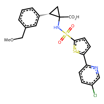 COCc1cccc([C@@H]2CC2(NS(=O)(=O)c2ccc(-c3ccc(Cl)cn3)s2)C(=O)O)c1